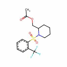 CC(=O)OCC1CCCCN1S(=O)(=O)c1ccccc1C(F)(F)F